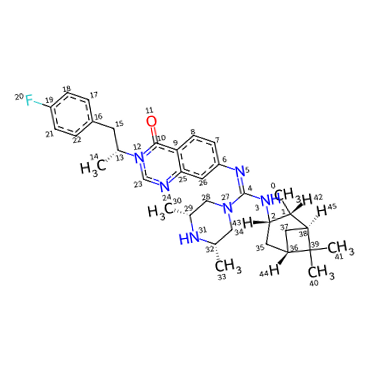 C[C@H]1[C@@H](NC(=Nc2ccc3c(=O)n([C@H](C)Cc4ccc(F)cc4)cnc3c2)N2C[C@@H](C)N[C@@H](C)C2)C[C@@H]2C[C@@H]1C2(C)C